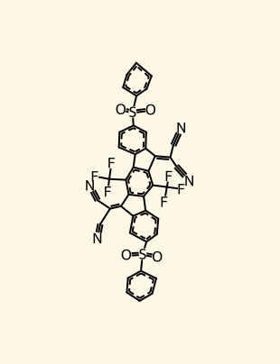 N#CC(C#N)=C1c2cc(S(=O)(=O)c3ccccc3)ccc2-c2c1c(C(F)(F)F)c1c(c2C(F)(F)F)C(=C(C#N)C#N)c2cc(S(=O)(=O)c3ccccc3)ccc2-1